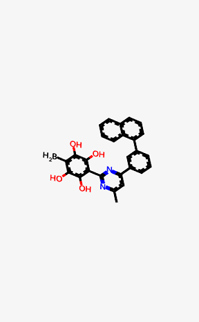 Bc1c(O)c(O)c(-c2nc(C)cc(-c3cccc(-c4cccc5ccccc45)c3)n2)c(O)c1O